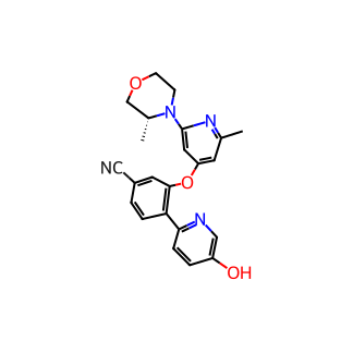 Cc1cc(Oc2cc(C#N)ccc2-c2ccc(O)cn2)cc(N2CCOC[C@H]2C)n1